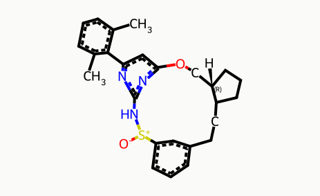 Cc1cccc(C)c1-c1cc2nc(n1)N[S+]([O-])c1cccc(c1)CCC1CCC[C@H]1CO2